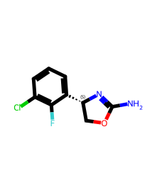 NC1=N[C@@H](c2cccc(Cl)c2F)CO1